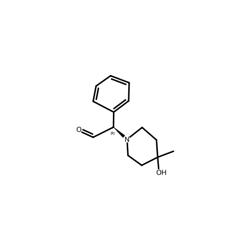 CC1(O)CCN([C@@H](C=O)c2ccccc2)CC1